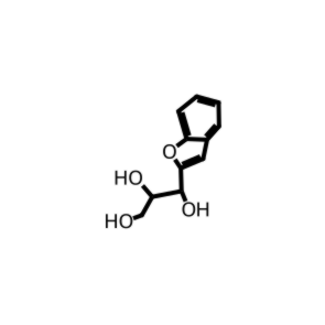 OCC(O)C(O)c1cc2ccccc2o1